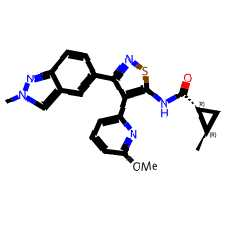 COc1cccc(-c2c(-c3ccc4nn(C)cc4c3)nsc2NC(=O)[C@@H]2C[C@H]2C)n1